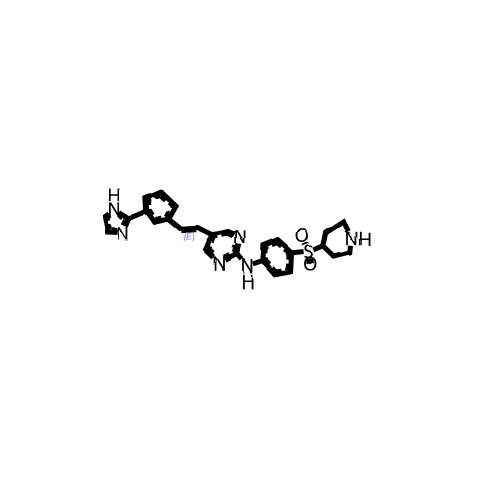 O=S(=O)(c1ccc(Nc2ncc(/C=C/c3cccc(-c4ncc[nH]4)c3)cn2)cc1)C1CCNCC1